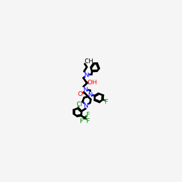 CCCCN(Cc1ccccc1)C[C@@H](O)CN1CN(c2ccc(F)cc2)C2(CCN(Cc3c(Cl)cccc3C(F)(F)F)CC2)C1=O